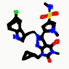 CNS(=O)(=O)c1cc(-c2c3c(=O)n(C)c(=O)n(CC4CC4)c3nn2Cc2c[nH]c3ccc(Cl)cc23)n(C)c1